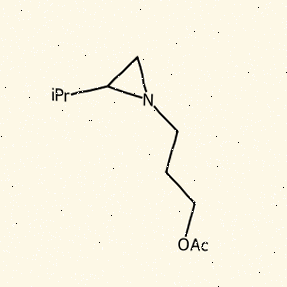 CC(=O)OCCCN1CC1C(C)C